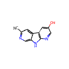 N#Cc1cc2c(cn1)[nH]c1ncc(O)cc12